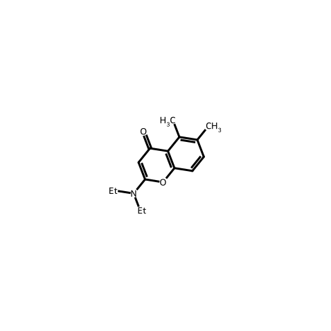 CCN(CC)c1cc(=O)c2c(C)c(C)ccc2o1